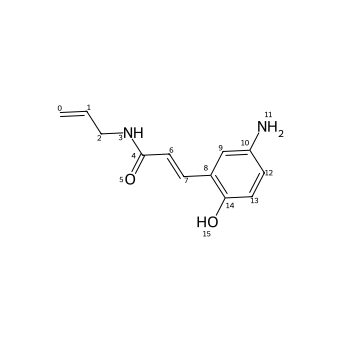 C=CCNC(=O)C=Cc1cc(N)ccc1O